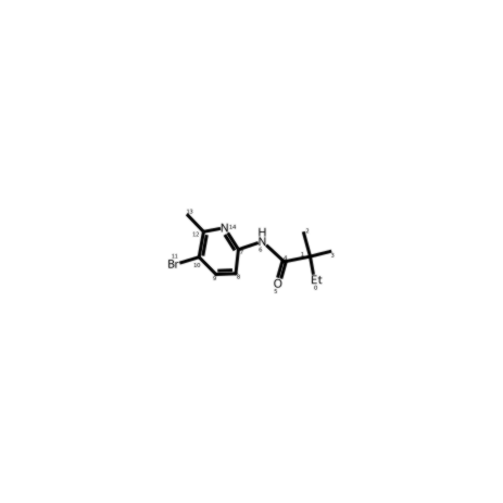 CCC(C)(C)C(=O)Nc1ccc(Br)c(C)n1